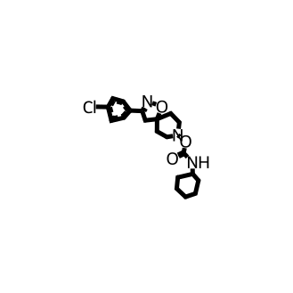 O=C(NC1CCCCC1)ON1CCC2(CC1)CC(c1ccc(Cl)cc1)=NO2